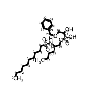 CCCCCCCCCCS(=O)(=O)N[C@H](CCCC)COP(=O)(O)C(O)COCc1ccccc1